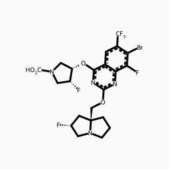 O=C(O)N1C[C@@H](F)[C@@H](Oc2nc(OC[C@@]34CCCN3C[C@H](F)C4)nc3c(F)c(Br)c(C(F)(F)F)cc23)C1